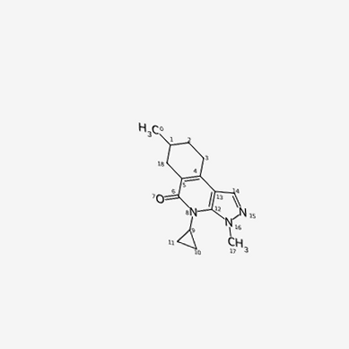 CC1CCc2c(c(=O)n(C3CC3)c3c2cnn3C)C1